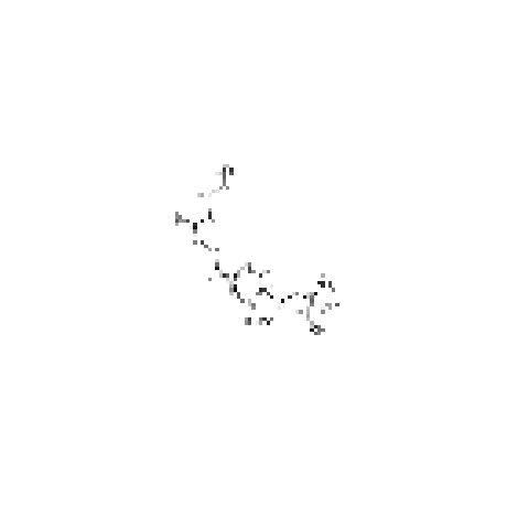 COc1cc(OCCC(C)CCCC(C)C)ccc1CC[C@@](N)(CO)C(C)C